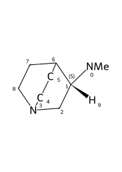 CN[C@@H]1CN2CCC1CC2